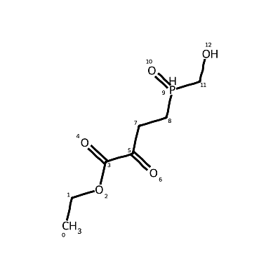 CCOC(=O)C(=O)CC[PH](=O)CO